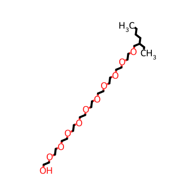 CCCCC(CC)COCCOCCOCCOCCOCCOCCOCCOCCOCCOCCO